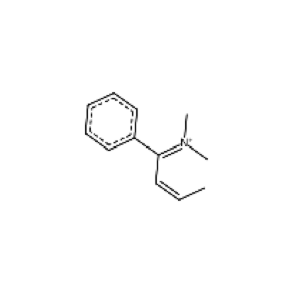 C/C=C\C(c1ccccc1)=[N+](C)C